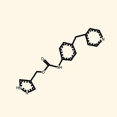 O=C(Nc1ccc(Cc2ccncc2)cc1)OCc1cn[nH]c1